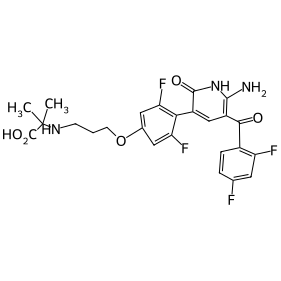 CC(C)(NCCCOc1cc(F)c(-c2cc(C(=O)c3ccc(F)cc3F)c(N)[nH]c2=O)c(F)c1)C(=O)O